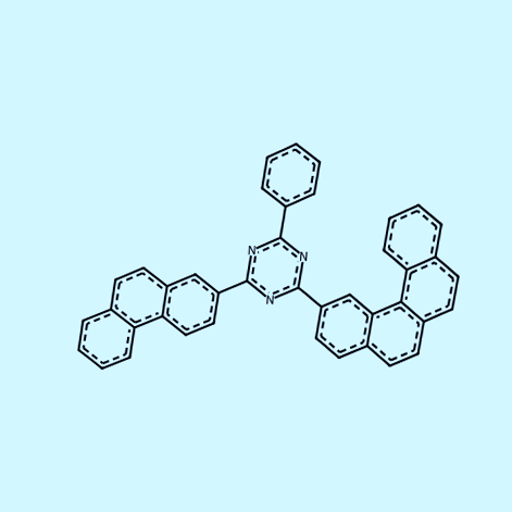 c1ccc(-c2nc(-c3ccc4c(ccc5ccccc54)c3)nc(-c3ccc4ccc5ccc6ccccc6c5c4c3)n2)cc1